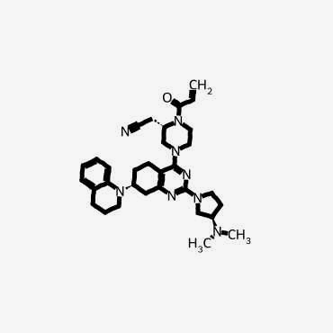 C=CC(=O)N1CCN(c2nc(N3CC[C@@H](N(C)C)C3)nc3c2CC[C@@H](N2CCCc4ccccc42)C3)C[C@@H]1CC#N